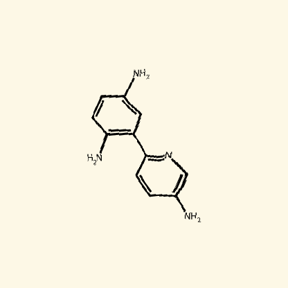 Nc1ccc(-c2cc(N)ccc2N)nc1